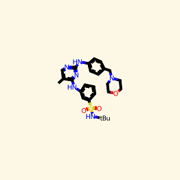 Cc1cnc(Nc2ccc(CN3CCOCC3)cc2)nc1Nc1cccc(S(=O)(=O)NC(C)(C)C)c1